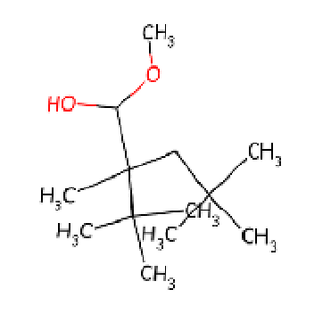 COC(O)C(C)(CC(C)(C)C)C(C)(C)C